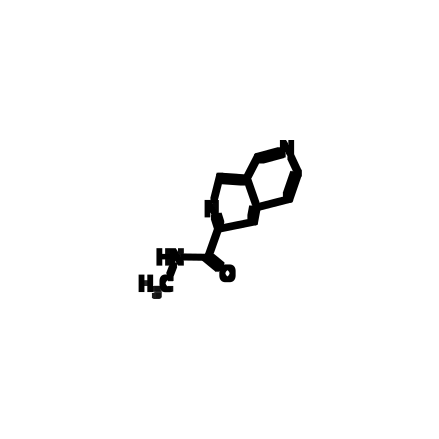 CNC(=O)c1cc2ccncc2cn1